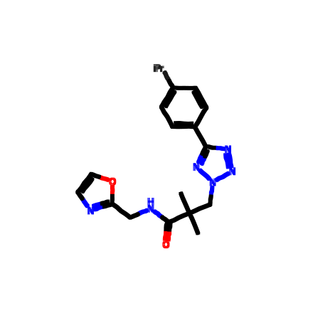 CC(C)c1ccc(-c2nnn(CC(C)(C)C(=O)NCc3ncco3)n2)cc1